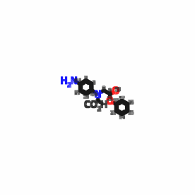 Nc1ccc(N(CC(=O)O)CC(=O)Oc2ccccc2)cc1